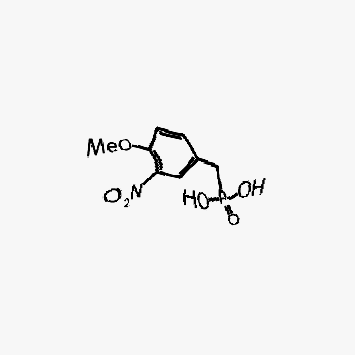 COc1ccc(CP(=O)(O)O)cc1[N+](=O)[O-]